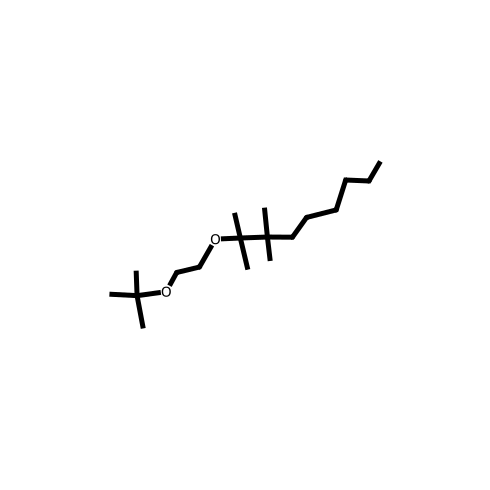 CCCCCCC(C)(C)C(C)(C)OCCOC(C)(C)C